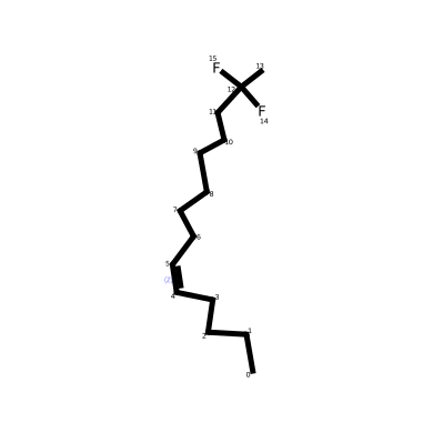 CCCC/C=C\CCCCCCC(C)(F)F